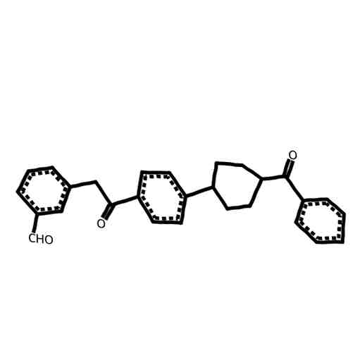 O=Cc1cccc(CC(=O)c2ccc(C3CCC(C(=O)c4ccccc4)CC3)cc2)c1